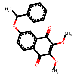 COC1=C(OC)C(=O)c2cc(OC(C)c3ccccc3)ccc2C1=O